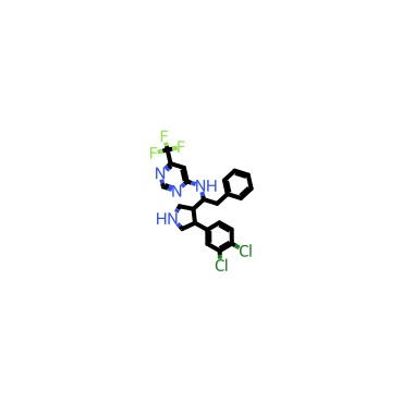 FC(F)(F)c1cc(NC(Cc2ccccc2)C2CNCC2c2ccc(Cl)c(Cl)c2)ncn1